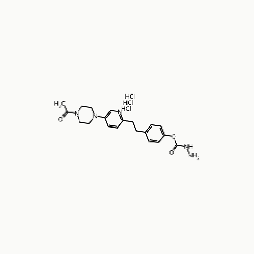 CC(=O)N1CCN(c2ccc(CCc3ccc(OC(=O)NN)cc3)nc2)CC1.Cl.Cl.Cl